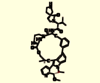 CCn1c(-c2cccnc2[C@H](C)OC)c2c3cc(ccc31)-c1cccc(c1)C[C@H](NC(=O)[C@H](C(C)C)N1CC[C@]3(CCNC3)C1=O)C(=O)N1CCC[C@H](N1)C(=O)OCC(C)(C)C2